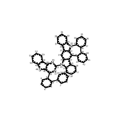 c1ccc(-c2ccccc2-c2nc(-n3c4ccccc4c4c5c6c(cc43)c3ccccc3n6-c3ccccc3-c3ccccc3-5)nc3c2sc2ccccc23)cc1